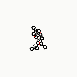 c1ccc(-c2cccc(-c3ccccc3N(c3ccc(-c4cccc5c4sc4ccccc45)cc3)c3cccc4c3-c3ccccc3C43c4ccccc4N(c4ccccc4)c4ccccc43)c2)cc1